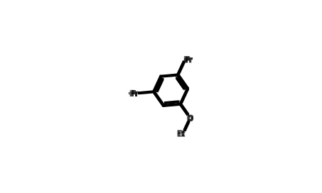 CCOc1cc([C](C)C)cc(C(C)C)c1